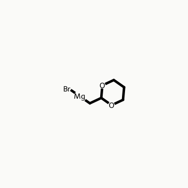 [Br][Mg][CH2]C1OCCCO1